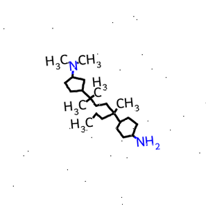 CCCC(C)(CCC(C)(C)C1CCC(N(C)C)C1)C1CCC(N)CC1